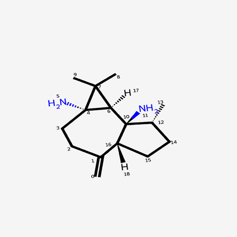 C=C1CC[C@]2(N)[C@@H](C2(C)C)[C@]2(N)[C@H](C)CC[C@H]12